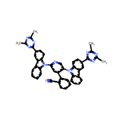 Cc1nc(C)nc(-c2ccc3c(c2)c2ccccc2n3-c2cc(-c3ccccc3C#N)c(-n3c4ccccc4c4cc(-c5nc(C)nc(C)n5)ccc43)cn2)n1